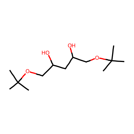 CC(C)(C)OCC(O)CC(O)COC(C)(C)C